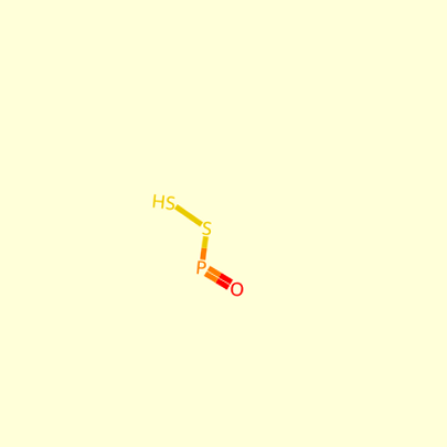 O=PSS